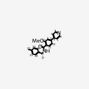 COc1cc(-c2ccncc2)ccc1C(=O)N[C@H](C)c1ccc(C)cc1